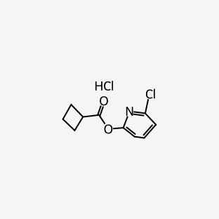 Cl.O=C(Oc1cccc(Cl)n1)C1CCC1